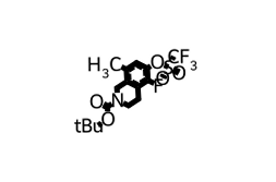 Cc1cc(OS(=O)(=O)C(F)(F)F)c(F)c2c1CN(C(=O)OC(C)(C)C)CC2